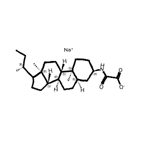 CC[C@@H](C)C1CC[C@H]2[C@@H]3CC[C@@H]4C[C@H](NC(=O)C(=O)[O-])CC[C@]4(C)[C@H]3CC[C@]12C.[Na+]